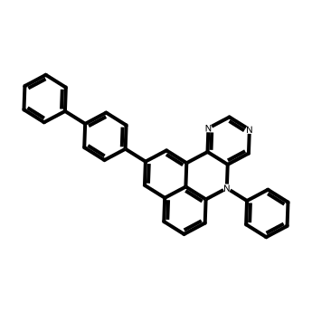 c1ccc(-c2ccc(-c3cc4c5c(cccc5c3)N(c3ccccc3)c3cncnc3-4)cc2)cc1